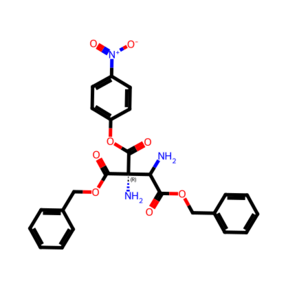 NC(C(=O)OCc1ccccc1)[C@@](N)(C(=O)OCc1ccccc1)C(=O)Oc1ccc([N+](=O)[O-])cc1